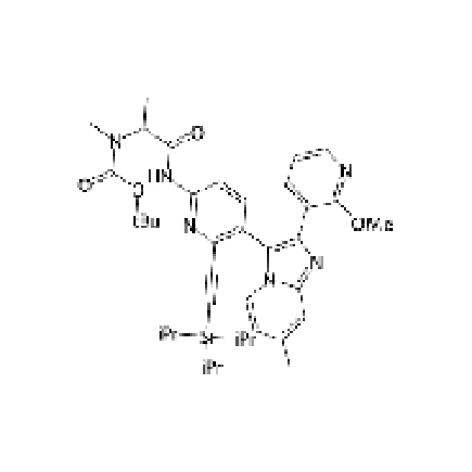 COc1ncccc1-c1nc2cc(C)ccn2c1-c1ccc(NC(=O)C(C)N(C)C(=O)OC(C)(C)C)nc1C#C[Si](C(C)C)(C(C)C)C(C)C